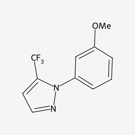 COc1cccc(-n2nccc2C(F)(F)F)c1